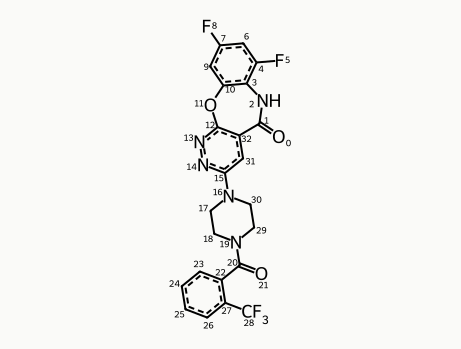 O=C1Nc2c(F)cc(F)cc2Oc2nnc(N3CCN(C(=O)c4ccccc4C(F)(F)F)CC3)cc21